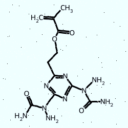 C=C(C)C(=O)OCCc1nc(N(N)C(N)=O)nc(N(N)C(N)=O)n1